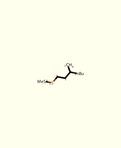 CCCCC(C)CCSSC